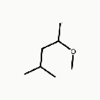 [CH2]C(CC(C)C)OC